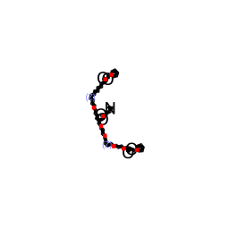 CN(C)CCCC(=O)OC(CCCCCCCC/C=C\CCCCCCCC(=O)OCc1ccccc1)CCCCCCCC/C=C\CCCCCCCC(=O)OCc1ccccc1